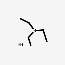 CCN(CC)CC.[HH]